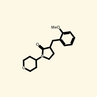 COc1ccccc1CC1CCN(C2CCOCC2)C1=O